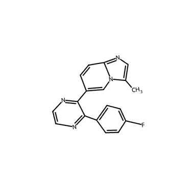 Cc1cnc2ccc(-c3nccnc3-c3ccc(F)cc3)cn12